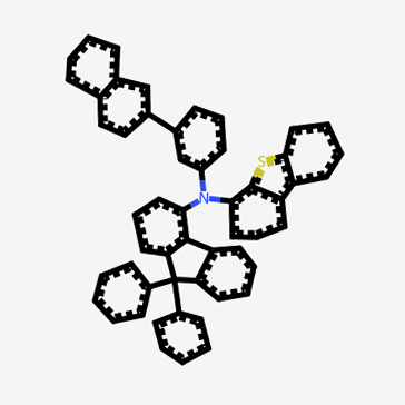 c1ccc(C2(c3ccccc3)c3ccccc3-c3c(N(c4cccc(-c5ccc6ccccc6c5)c4)c4cccc5c4sc4ccccc45)cccc32)cc1